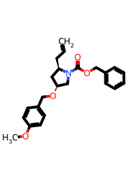 C=CC[C@@H]1C[C@@H](OCc2ccc(OC)cc2)CN1C(=O)OCc1ccccc1